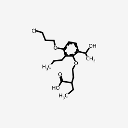 CCCc1c(OCCCCl)ccc(C(C)O)c1OCCC(CC)C(=O)O